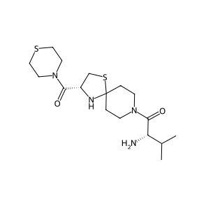 CC(C)[C@H](N)C(=O)N1CCC2(CC1)N[C@H](C(=O)N1CCSCC1)CS2